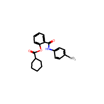 O=C(Nc1ccc([N+](=O)[O-])cc1)c1ccccc1OC(=O)C1CCCCC1